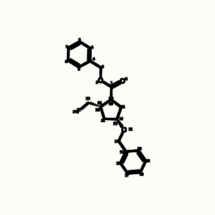 O=C(OCc1ccccc1)N1C[C@@H](OCc2ccccc2)C[C@@H]1CF